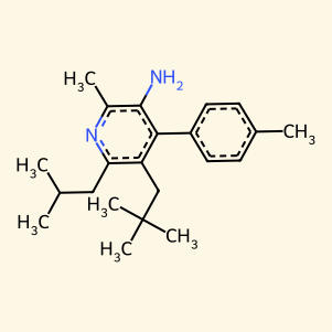 Cc1ccc(-c2c(N)c(C)nc(CC(C)C)c2CC(C)(C)C)cc1